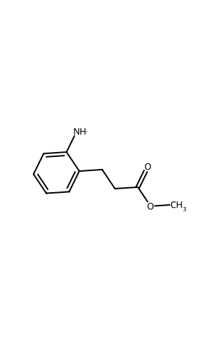 COC(=O)CCc1ccccc1[NH]